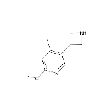 COc1cc(C)c(C2CNC2)cn1